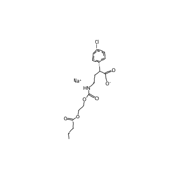 CCCC(=O)OCCOC(=O)NCCC(C(=O)[O-])c1ccc(Cl)cc1.[Na+]